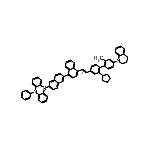 Cc1cc(N2CCCc3ccccc32)ccc1-c1ccc(/C=C/c2ccc(-c3ccc4cc(N5c6ccccc6N(c6ccccc6)c6ccccc65)ccc4c3)c3ccccc23)cc1C1CCCC1